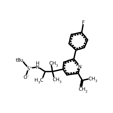 C=C(C)c1cc(C(C)(C)C(C)N[S+]([O-])C(C)(C)C)cc(-c2ccc(F)cc2)n1